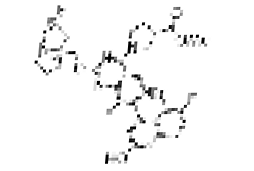 CCc1c(F)ccc2cc(O)cc(-c3ncc4c(N5CCC(C(=O)OC)C5)nc(OC[C@@]56CCCN5C[C@H](F)C6)nc4c3F)c12